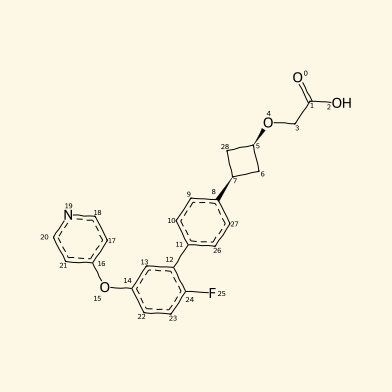 O=C(O)CO[C@H]1C[C@@H](c2ccc(-c3cc(Oc4ccncc4)ccc3F)cc2)C1